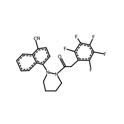 N#Cc1ccc(N2CCCCN2C(=O)Cc2c(F)c(F)c(F)c(F)c2F)c2ccccc12